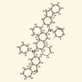 c1cccc(N(c2ccc3sc4ccccc4c3c2)c2cc3c4c(c(N(c5ccccc5)c5ccc6sc7ccccc7c6c5)cc3c3ccccc23)CCC=C4)c#1